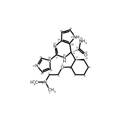 CN(C)CCOC1CCCC[C@@H]1[C@@]1(C(N)=O)NC(n2ccnc2)=Nc2cc[nH]c21